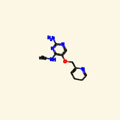 CCCCNc1nc(N)ncc1OCC1=CCCC=N1